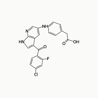 O=C(O)Cc1ccc(Nc2cnc3[nH]cc(C(=O)c4ccc(Cl)cc4F)c3c2)cc1